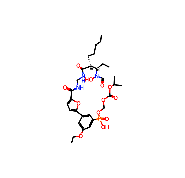 CCCCC[C@@H](C(=O)NCNC(=O)c1ccc(-c2cc(OCC)cc(P(=O)(O)OCOC(=O)OC(C)C)c2)o1)[C@@H](CC)N(O)C=O